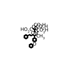 CC(C(CC=Cc1ccccc1)c1ccc(Oc2ccccc2)cc1)N(CC(=O)O)C(=O)C1OC(C(=O)O)(C(=O)O)OC1C(=O)O